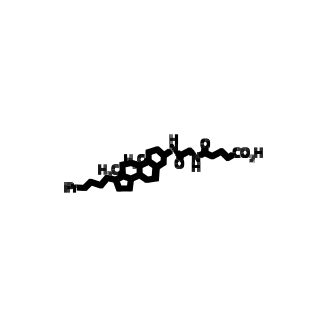 CC(C)CCCCC1CCC2C3CC=C4CC(NC(=O)CNC(=O)CCCC(=O)O)CCC4(C)C3CCC12C